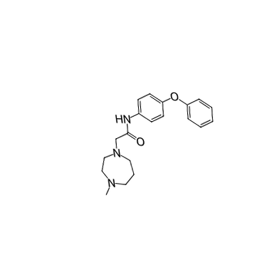 CN1CCCN(CC(=O)Nc2ccc(Oc3ccccc3)cc2)CC1